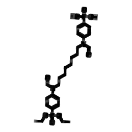 CCOP(=O)(OCC)c1ccc(N(C=O)CCCCCCCCN(C=O)c2ccc(P(=O)(O)O)cc2)cc1